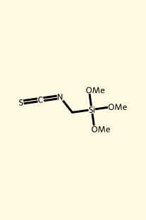 CO[Si](CN=C=S)(OC)OC